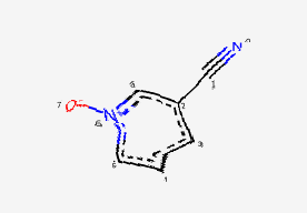 N#Cc1cc[c][n+]([O-])c1